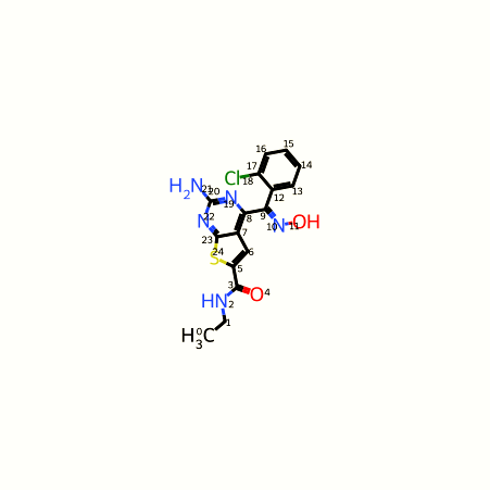 CCNC(=O)c1cc2c(C(=NO)c3ccccc3Cl)nc(N)nc2s1